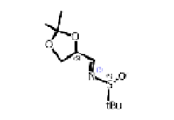 CC1(C)OC[C@H](/C=N/[S@@+]([O-])C(C)(C)C)O1